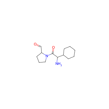 NC(C(=O)N1CCCC1C=O)C1CCCCC1